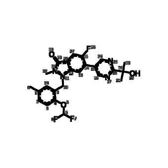 Cc1ccc(OC(F)F)c(Cn2c3cc(-c4cnc(C(C)(C)O)nc4)c(F)cc3c(=O)n2C)c1